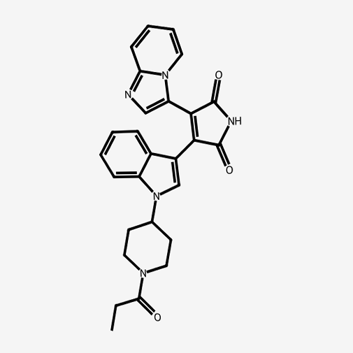 CCC(=O)N1CCC(n2cc(C3=C(c4cnc5ccccn45)C(=O)NC3=O)c3ccccc32)CC1